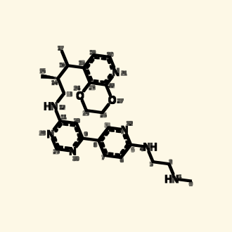 CNCCNc1ccc(-c2cc(NC[C@@H](C)C(C)c3ccnc4c3OCCO4)ncn2)cn1